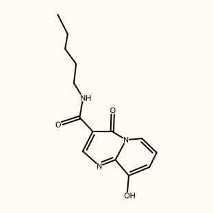 CCCCCNC(=O)c1cnc2c(O)cccn2c1=O